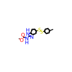 COC(=O)Nc1nc2cc(SSc3ccc(C)cc3)ccc2[nH]1